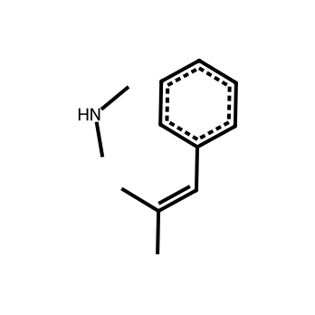 CC(C)=Cc1ccccc1.CNC